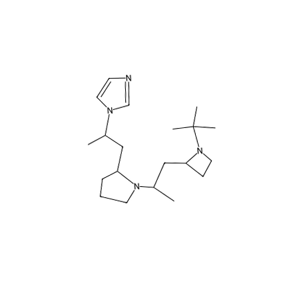 CC(CC1CCN1C(C)(C)C)N1CCCC1CC(C)n1ccnc1